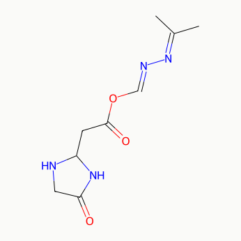 CC(C)=N/N=C/OC(=O)CC1NCC(=O)N1